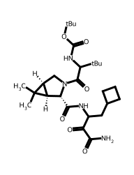 CC(C)(C)OC(=O)NC(C(=O)N1C[C@H]2[C@@H]([C@H]1C(=O)NC(CC1CCC1)C(=O)C(N)=O)C2(C)C)C(C)(C)C